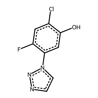 Oc1cc(-n2ccnn2)c(F)cc1Cl